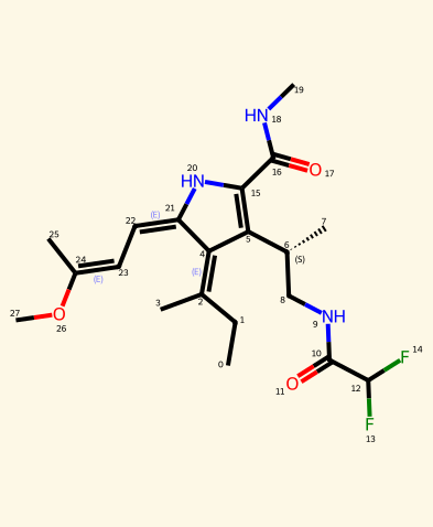 CC\C(C)=c1/c([C@H](C)CNC(=O)C(F)F)c(C(=O)NC)[nH]/c1=C/C=C(\C)OC